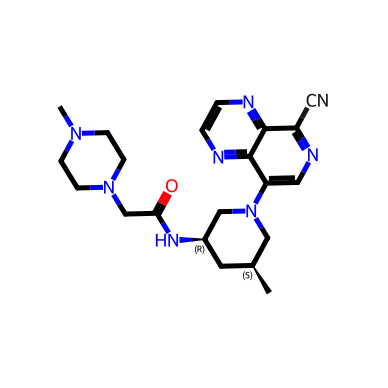 C[C@H]1C[C@@H](NC(=O)CN2CCN(C)CC2)CN(c2cnc(C#N)c3nccnc23)C1